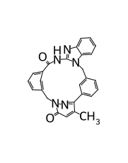 Cc1cc(=O)n2nc1-c1cccc(c1)Cn1c(nc3ccccc31)NC(=O)c1cccc(c1)C2